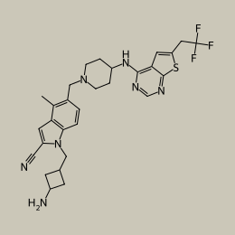 Cc1c(CN2CCC(Nc3ncnc4sc(CC(F)(F)F)cc34)CC2)ccc2c1cc(C#N)n2CC1CC(N)C1